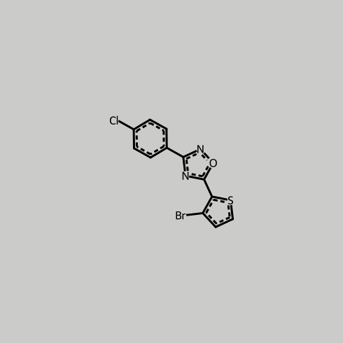 Clc1ccc(-c2noc(-c3sccc3Br)n2)cc1